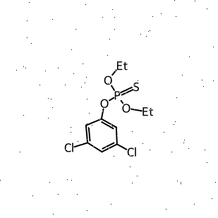 CCOP(=S)(OCC)Oc1cc(Cl)cc(Cl)c1